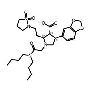 CCCCN(CCCC)C(=O)CN1C[C@H](c2ccc3c(c2)OCO3)[C@@H](C(=O)O)[C@@H]1CCN1CCCS1(=O)=O